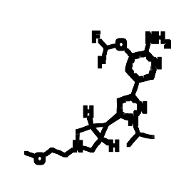 COCCN1C[C@@H]2[C@H](C1)[C@H]2c1cc(-c2cnc(N)c(OC(F)F)c2)nn1C(C)C